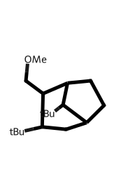 COCC1C2CCC(CC1C(C)(C)C)C2C(C)(C)C